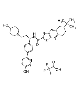 CC(C)(C)[C@H]1CCc2nc3sc(C(=O)N[C@H](CCN4CCC(O)CC4)c4ccc(-c5ccc(O)nn5)cc4)nc3cc2C1.O=C(O)C(F)(F)F